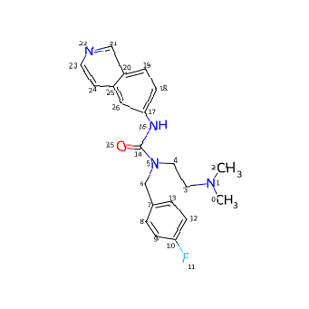 CN(C)CCN(Cc1ccc(F)cc1)C(=O)Nc1ccc2cnccc2c1